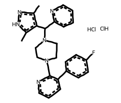 Cc1n[nH]c(C)c1C(c1ccccn1)N1CCN(c2ncccc2-c2ccc(F)cc2)CC1.Cl.Cl